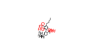 [2H]C([2H])([2H])C1=CC(c2c(O)cc(CCCCC)c(C(=O)OC)c2O)C(C(C)(C)O)CC1